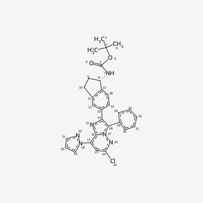 CC(C)(C)OC(=O)N[C@H]1CCc2cc(-c3nc4c(-n5cccn5)cc(Cl)nn4c3-c3ccccc3)ccc21